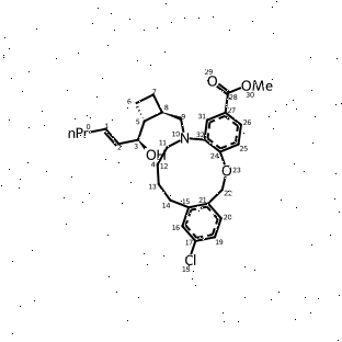 CCC/C=C/[C@H](O)[C@@H]1CC[C@H]1CN1CCCCc2cc(Cl)ccc2COc2ccc(C(=O)OC)cc21